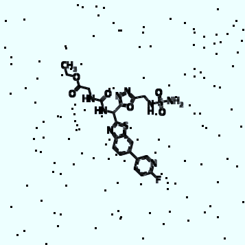 CCOC(=O)CNC(=O)NC(c1nnc(CNS(N)(=O)=O)o1)c1nc2ccc(-c3ccc(F)nc3)cc2s1